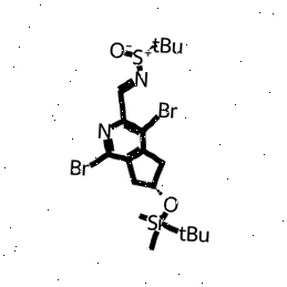 CC(C)(C)[S@+]([O-])N=Cc1nc(Br)c2c(c1Br)C[C@H](O[Si](C)(C)C(C)(C)C)C2